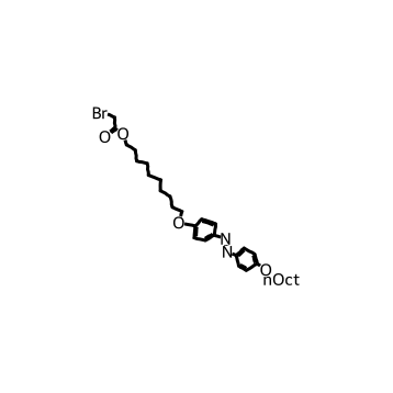 CCCCCCCCOc1ccc(N=Nc2ccc(OCCCCCCCCCCOC(=O)CBr)cc2)cc1